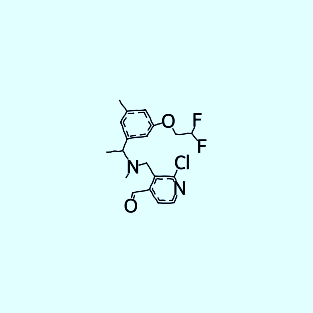 Cc1cc(OCC(F)F)cc(C(C)N(C)Cc2c(C=O)ccnc2Cl)c1